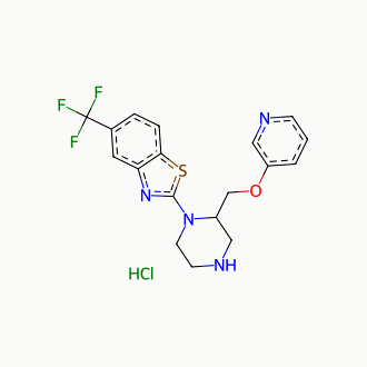 Cl.FC(F)(F)c1ccc2sc(N3CCNCC3COc3cccnc3)nc2c1